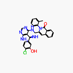 Cc1ccccc1-n1c(CNc2ncnc(N)c2C(=N)c2ccc(Cl)c(O)c2)cc2ccccc2c1=O